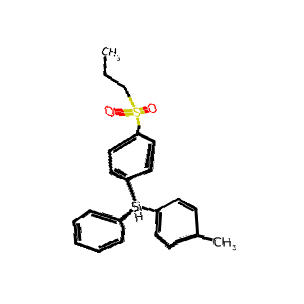 CCCS(=O)(=O)c1ccc([SiH](C2=CCC(C)C=C2)c2ccccc2)cc1